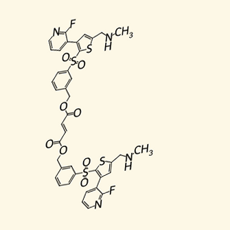 CNCc1cc(-c2cccnc2F)c(S(=O)(=O)c2cccc(COC(=O)/C=C/C(=O)OCc3cccc(S(=O)(=O)c4sc(CNC)cc4-c4cccnc4F)c3)c2)s1